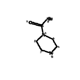 CC(C)(C)C(=O)N1CC[N]CC1